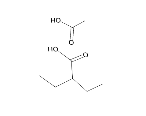 CC(=O)O.CCC(CC)C(=O)O